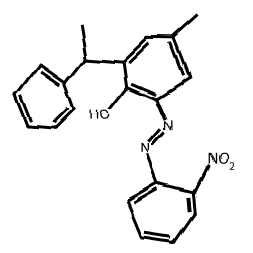 Cc1cc(/N=N/c2ccccc2[N+](=O)[O-])c(O)c(C(C)c2ccccc2)c1